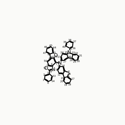 c1ccc(-c2nc3c(N(c4ccc5c(c4)sc4ccccc45)c4ccc5c(c4)c4ccccc4n5-c4ccccc4)c4oc5ccccc5c4cc3o2)cc1